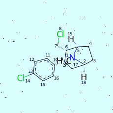 CN1[C@H]2CC[C@@H]1[C@@H](CCl)[C@@H](c1ccc(Cl)cc1)C2